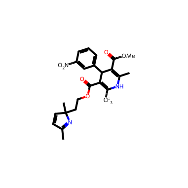 COC(=O)C1=C(C)NC(C(F)(F)F)=C(C(=O)OCCC2(C)C=CC(C)=N2)C1c1cccc([N+](=O)[O-])c1